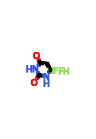 F.F.O=c1cc[nH]c(=O)[nH]1